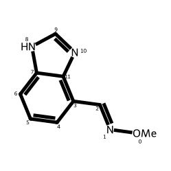 CON=Cc1cccc2[nH]cnc12